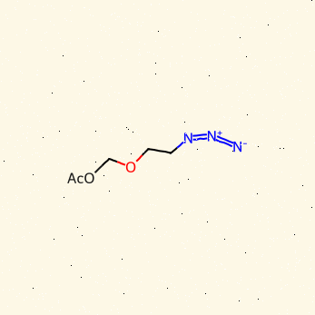 CC(=O)OCOCCN=[N+]=[N-]